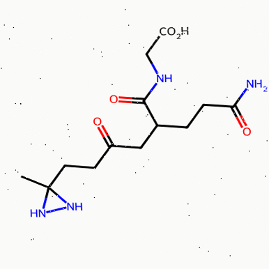 CC1(CCC(=O)CC(CCC(N)=O)C(=O)NCC(=O)O)NN1